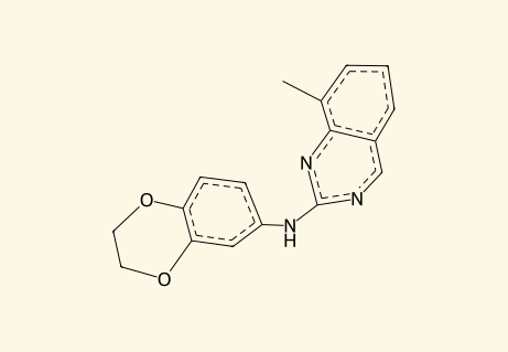 Cc1cccc2cnc(Nc3ccc4c(c3)OCCO4)nc12